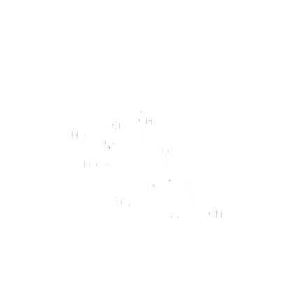 CC(=O)CC(=O)OC(C)C[N+](C)(C)C.[Cl-]